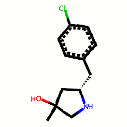 CC1(O)CN[C@@H](Cc2ccc(Cl)cc2)C1